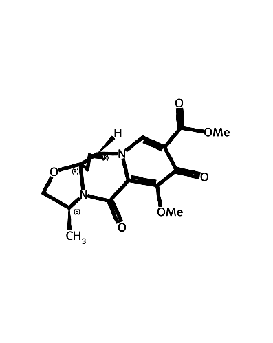 COC(=O)c1cn2c(c(OC)c1=O)C(=O)N1[C@@H](C)CO[C@@]13CCC[C@@H]23